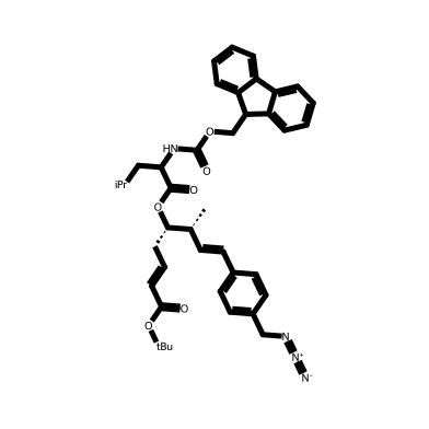 CC(C)CC(NC(=O)OCC1c2ccccc2-c2ccccc21)C(=O)O[C@@H](C/C=C/C(=O)OC(C)(C)C)[C@H](C)/C=C/c1ccc(CN=[N+]=[N-])cc1